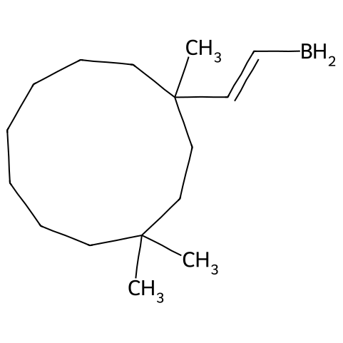 B/C=C/C1(C)CCCCCCCC(C)(C)CC1